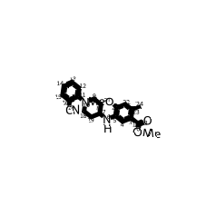 COC(=O)c1cc(NC2CCN(c3ccccc3C#N)CC2)c(OC)cc1C